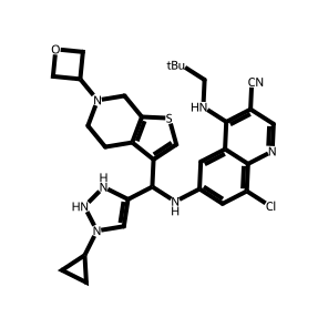 CC(C)(C)CNc1c(C#N)cnc2c(Cl)cc(NC(C3=CN(C4CC4)NN3)c3csc4c3CCN(C3COC3)C4)cc12